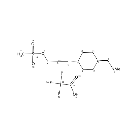 CNC[C@H]1CC[C@H](C#CCOS(C)(=O)=O)CC1.O=C(O)C(F)(F)F